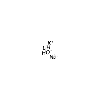 [K+].[LiH].[Nb].[OH-]